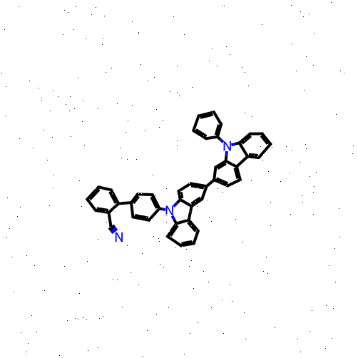 N#Cc1ccccc1-c1ccc(-n2c3ccccc3c3cc(-c4ccc5c6ccccc6n(-c6ccccc6)c5c4)ccc32)cc1